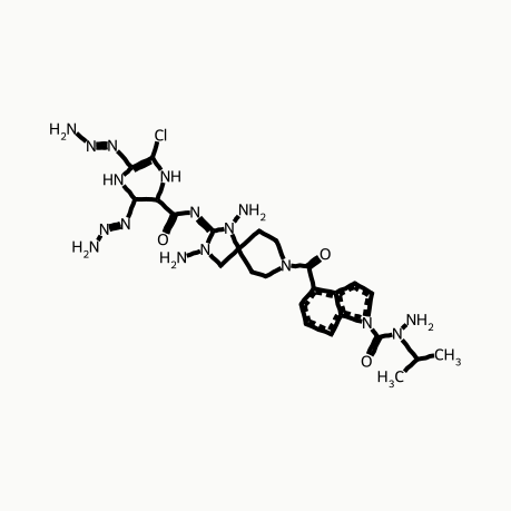 CC(C)N(N)C(=O)n1ccc2c(C(=O)N3CCC4(CC3)CN(N)/C(=N\C(=O)C3NC(Cl)=C(N=NN)NC3N=NN)N4N)cccc21